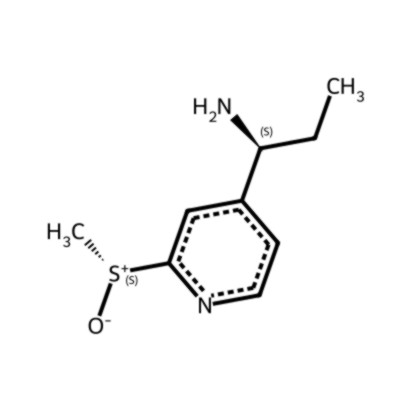 CC[C@H](N)c1ccnc([S@@+](C)[O-])c1